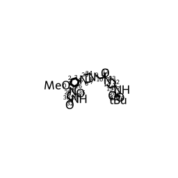 COc1ccc(N2CCN(CCC(=O)N3CCC(NC(=O)OC(C)(C)C)CC3)CC2)cc1N1CCC(=O)NC1=O